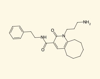 NCCCn1c2c(cc(C(=O)NCCc3ccccc3)c1=O)CCCCCC2